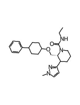 CCNC(=O)N1CCCC(c2ccn(C)n2)[C@@H]1COC1CCC(c2ccccc2)CC1